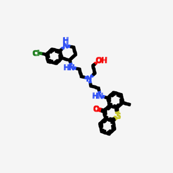 Cc1ccc(NCCN(CCO)CCNC2CCNc3cc(Cl)ccc32)c2c(=O)c3ccccc3sc12